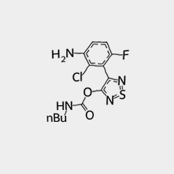 CCCCNC(=O)Oc1nsnc1-c1c(F)ccc(N)c1Cl